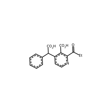 CCC(=O)c1nccc(C(C(=O)O)c2ccccc2)c1C(=O)O